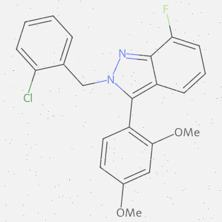 COc1ccc(-c2c3cccc(F)c3nn2Cc2ccccc2Cl)c(OC)c1